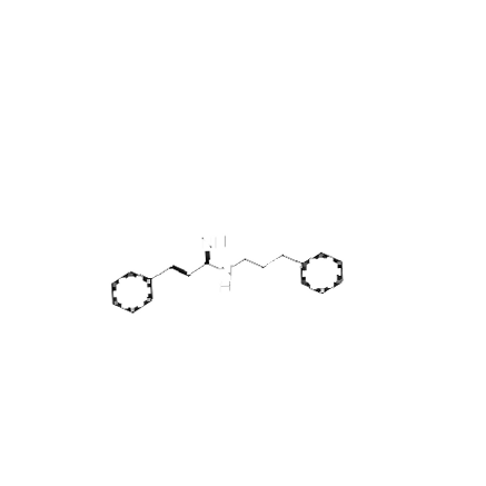 N=C(/C=C/c1ccccc1)NCCCc1ccccc1